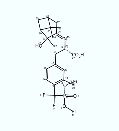 CCOP(=O)(OCC)C(F)(F)c1ccc(C[C@H](N=C2CC3CC(C2(C)O)C3(C)C)C(=O)O)cc1Br